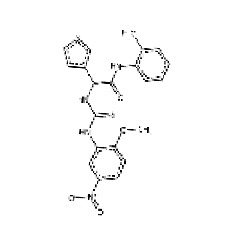 COc1ccc([N+](=O)[O-])cc1NC(=S)NC(C(=O)Nc1ccccc1C)c1ccsc1